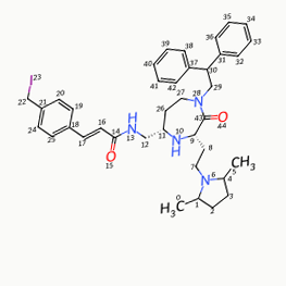 CC1CCC(C)N1CC[C@@H]1N[C@H](CNC(=O)/C=C/c2ccc(CI)cc2)CCN(CC(c2ccccc2)c2ccccc2)C1=O